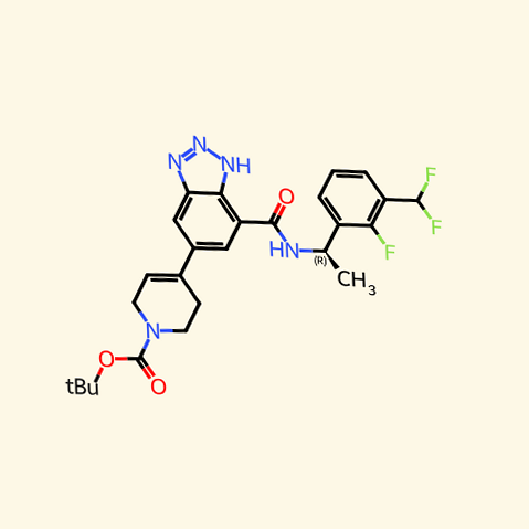 C[C@@H](NC(=O)c1cc(C2=CCN(C(=O)OC(C)(C)C)CC2)cc2nn[nH]c12)c1cccc(C(F)F)c1F